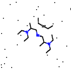 CCN(CC)C(C)C[N-]CC(C)N(CC)CC.C[CH2][In+][CH2]C